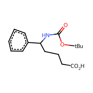 CC(C)(C)OC(=O)NC(CCCC(=O)O)c1ccccc1